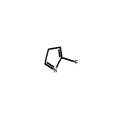 FC1=CCC=N1